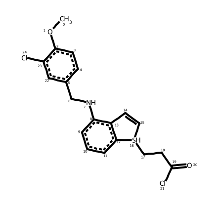 COc1ccc(CNc2cccc3c2C=C[SH]3CCC(=O)Cl)cc1Cl